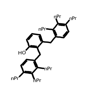 CCCc1ccc(Cc2cccc(O)c2Cc2ccc(CCC)c(CCC)c2CCC)c(CCC)c1CCC